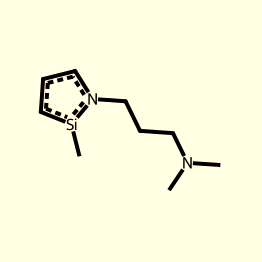 CN(C)CCCn1ccc[si]1C